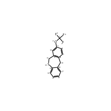 FC(F)(F)Oc1ccc2c(c1)CSc1ccccc1C2